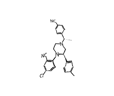 Cc1ccc([C@@H]2CN([C@@H](C)c3ccc(C#N)cc3)CCN2c2ccc(Cl)cc2C#N)cc1